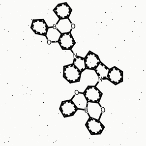 c1ccc2c(c1)Oc1cc(-n3c4ccccc4c4c3ccc3c5ccccc5n(-c5cc6c7c(c5)Oc5ccccc5B7c5ccccc5O6)c34)cc3c1B2c1ccccc1O3